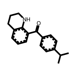 CC(C)c1ccc(C(=O)c2cccc3c2NCCC3)cc1